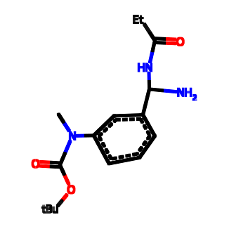 CCC(=O)NC(N)c1cccc(N(C)C(=O)OC(C)(C)C)c1